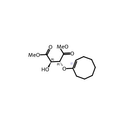 COC(=O)[C@H](O)[C@@H](O/C1=C/CCCCCC1)C(=O)OC